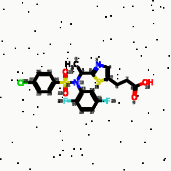 CC(c1ncc(CCC(=O)O)s1)N(c1cc(F)ccc1F)S(=O)(=O)c1ccc(Cl)cc1